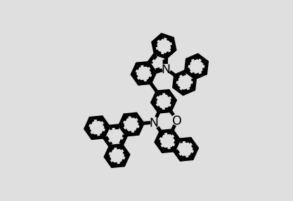 c1ccc2c(-n3c4ccccc4c4cccc(-c5ccc6c(c5)N(c5ccc7c8ccccc8c8ccccc8c7c5)c5ccc7ccccc7c5O6)c43)cccc2c1